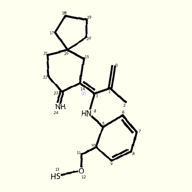 C=C(C)/C(NC1C=CC=CC1COS)=C1\CC2(CCCC2)CCC1=N